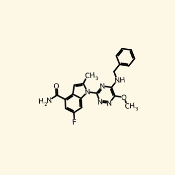 COc1nnc(-n2c(C)cc3c(C(N)=O)cc(F)cc32)nc1NCc1ccccc1